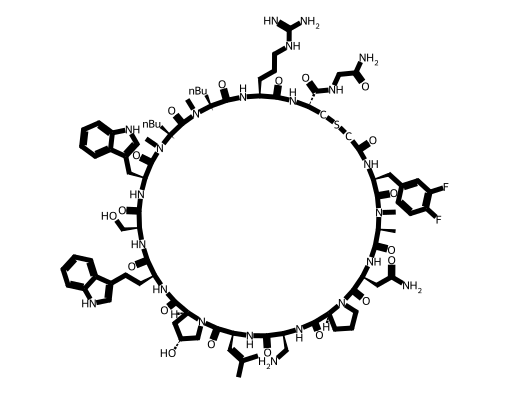 CCCC[C@H]1C(=O)N(C)[C@@H](CCCC)C(=O)N[C@@H](CCCNC(=N)N)C(=O)N[C@H](C(=O)NCC(N)=O)CSCC(=O)N[C@@H](Cc2ccc(F)c(F)c2)C(=O)N(C)[C@@H](C)C(=O)N[C@@H](CC(N)=O)C(=O)N2CCC[C@H]2C(=O)N[C@@H](CN)C(=O)N[C@@H](C=C(C)C)C(=O)N2C[C@H](O)C[C@H]2C(=O)N[C@@H](CCc2c[nH]c3ccccc23)C(=O)N[C@@H](CO)C(=O)N[C@@H](Cc2c[nH]c3ccccc23)C(=O)N1C